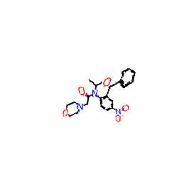 CC(C)N(C(=O)CN1CCOCC1)c1ccc([N+](=O)[O-])cc1C(=O)c1ccccc1